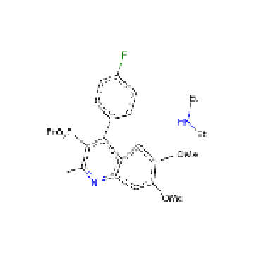 CCNCC.CCOC(=O)c1c(C)nc2cc(OC)c(OC)cc2c1-c1ccc(F)cc1